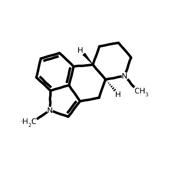 [CH2]n1cc2c3c(cccc31)[C@@H]1CCCN(C)[C@H]1C2